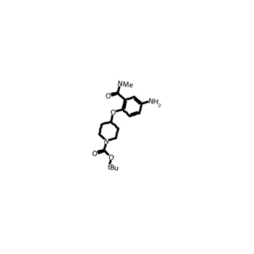 CNC(=O)c1cc(N)ccc1OC1CCN(C(=O)OC(C)(C)C)CC1